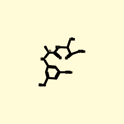 CCCCC(NC(=O)[C@H](C)Nc1cc(OC)cc(OC)c1)C(=O)OC